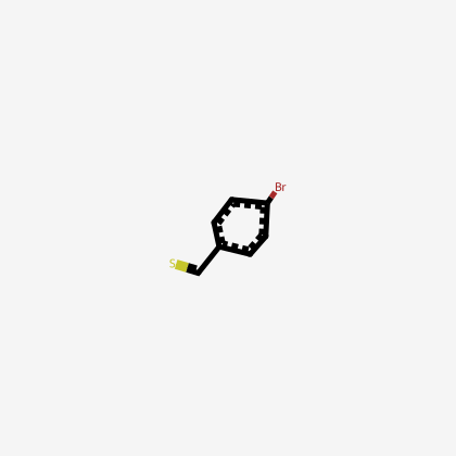 S=Cc1ccc(Br)cc1